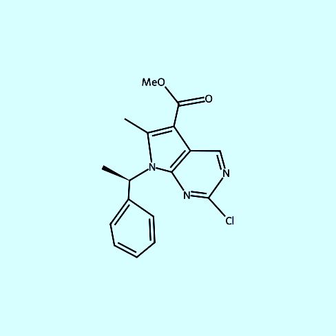 COC(=O)c1c(C)n([C@H](C)c2ccccc2)c2nc(Cl)ncc12